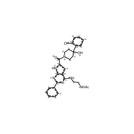 CC(=O)NCCNc1nc(-c2ccccc2)nc2[nH]c(C(=O)N3CCC(O)(c4ccccc4Cl)CC3)cc12